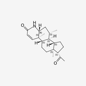 CC(=O)[C@H]1CC[C@H]2[C@@H]3[C@@H](C)C[C@H]4NC(=O)C=C[C@]4(C)[C@H]3CC[C@]12C